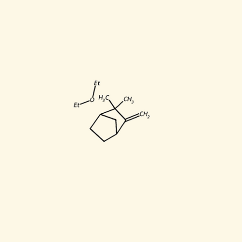 C=C1C2CCC(C2)C1(C)C.CCOCC